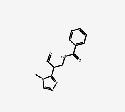 Cn1cnnc1C([C]=S)CNC(=O)c1ccccc1